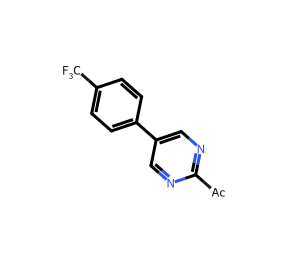 CC(=O)c1ncc(-c2ccc(C(F)(F)F)cc2)cn1